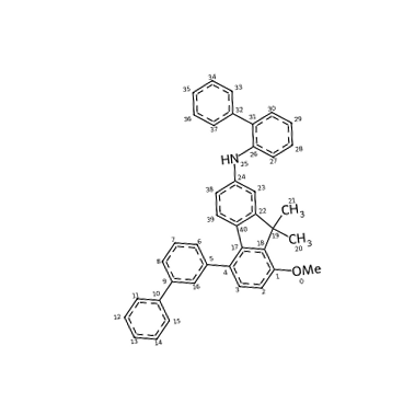 COc1ccc(-c2cccc(-c3ccccc3)c2)c2c1C(C)(C)c1cc(Nc3ccccc3-c3ccccc3)ccc1-2